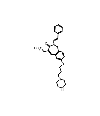 O=C(O)CC1=Cc2cc(OCCCN3CCNCC3)ccc2CN(C=Cc2ccccc2)C1=O